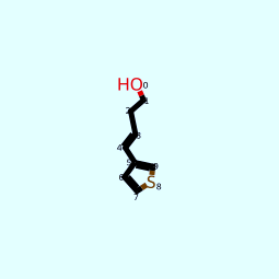 OCCC=Cc1ccsc1